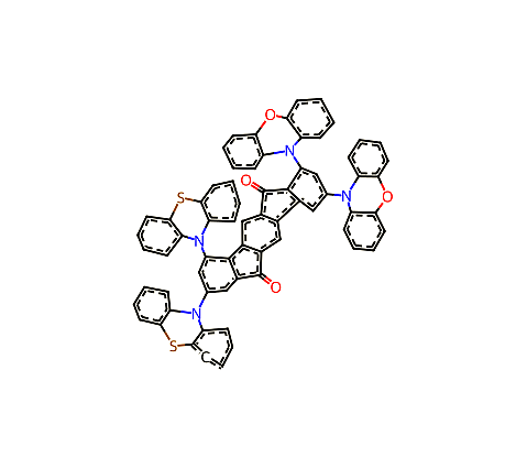 O=c1c2cc3c(cc2c2c(N4c5ccccc5Sc5ccccc54)cc(N4c5ccccc5Sc5ccccc54)cc12)c(=O)c1c(N2c4ccccc4Oc4ccccc42)cc(N2c4ccccc4Oc4ccccc42)cc13